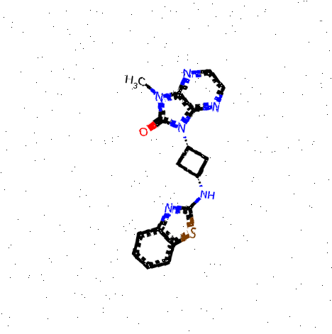 Cn1c(=O)n([C@H]2C[C@@H](Nc3nc4ccccc4s3)C2)c2nccnc21